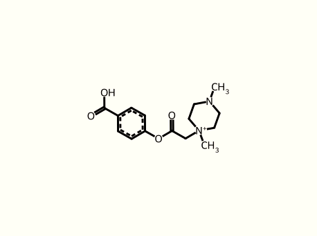 CN1CC[N+](C)(CC(=O)Oc2ccc(C(=O)O)cc2)CC1